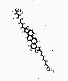 CCCCCCCCc1cc2c(ccc3c2ccc2c4ccc5oc(CCCCCCCC)cc5c4ccc32)o1